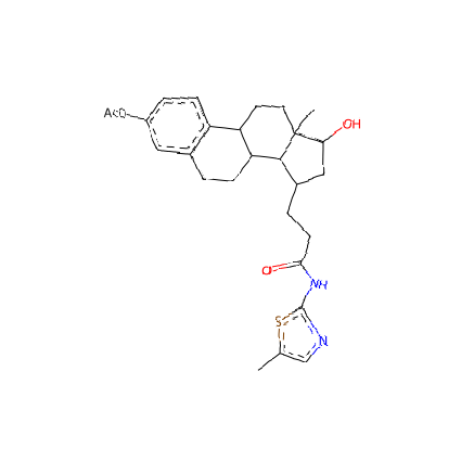 CC(=O)Oc1ccc2c(c1)CCC1C2CCC2(C)C(O)CC(CCC(=O)Nc3ncc(C)s3)C12